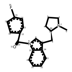 CN1CCC[C@@H]1Cc1cn(C(=O)c2ccc(F)cc2)c2ccccc12